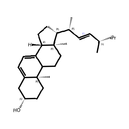 CC(C)[C@H](C)/C=C/[C@@H](C)[C@H]1CC[C@H]2C3=CC=C4C[C@@H](O)CC[C@]4(C)C3CC[C@]12C